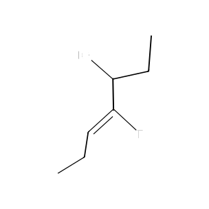 CC/C=C(\F)C(O)CC